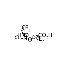 CCOC(Cc1ccc(OCCN(CCCc2ccccc2)C(=O)Nc2ccc(C(F)(F)F)cc2)cc1)C(=O)O